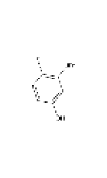 CC(C)c1cc(O)ccc1F